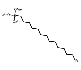 CO[Si](CCCCCCCCCCCCCC(C)C)(OC)OC